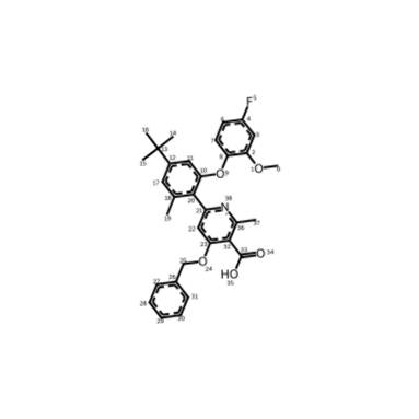 COc1cc(F)ccc1Oc1cc(C(C)(C)C)cc(C)c1-c1cc(OCc2ccccc2)c(C(=O)O)c(C)n1